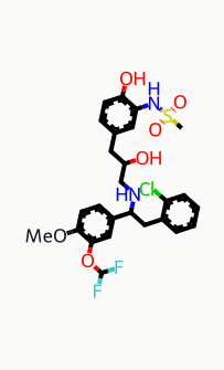 COc1ccc(C(Cc2ccccc2Cl)NCC(O)Cc2ccc(O)c(NS(C)(=O)=O)c2)cc1OC(F)F